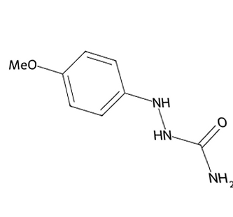 COc1ccc(NNC(N)=O)cc1